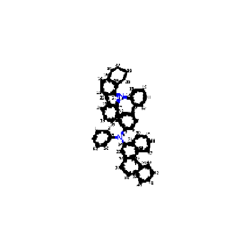 c1ccc(N(c2ccc(-c3ccccc3-n3c4ccccc4c4ccc5c(c43)CCCC5)cc2)c2cc3ccc4ccccc4c3c3ccccc23)cc1